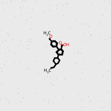 CCCC1CCC(c2ccc(C(=O)O)c(-c3ccc(COC)cc3)c2)CC1